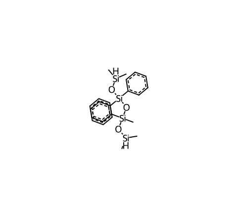 C[SiH](C)O[Si](C)(O[Si](O[SiH](C)C)(c1ccccc1)c1ccccc1)c1ccccc1